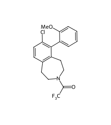 COc1ccccc1-c1c(Cl)ccc2c1CCN(C(=O)C(F)(F)F)CC2